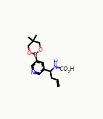 C=CCC(NC(=O)O)c1cncc(B2OCC(C)(C)CO2)c1